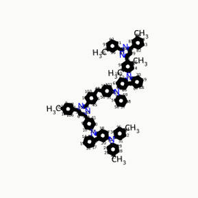 Cc1ccc(-c2cc(-c3ccc(-n4c5ccccc5c5cc(N(c6ccc(C)cc6)c6ccc(C)cc6)ccc54)cc3)nc(-c3ccc(Cc4ccc(N(c5ccccc5)c5ccc6c(c5)c5ccccc5n6-c5cc(C)c(-c6cc(-c7cccc(C)c7)nc(-c7cccc(C)c7)n6)cc5C)cc4)cc3)n2)cc1